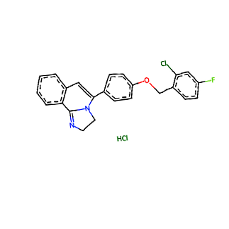 Cl.Fc1ccc(COc2ccc(C3=Cc4ccccc4C4=NCCN34)cc2)c(Cl)c1